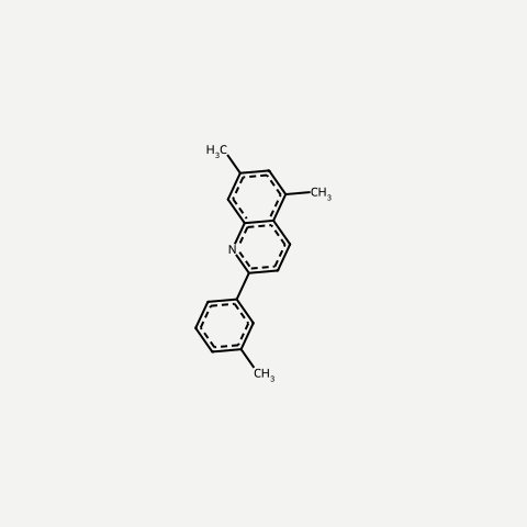 Cc1cccc(-c2ccc3c(C)cc(C)cc3n2)c1